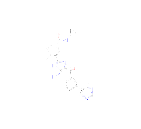 Cc1ccc(C(=O)NC2CC2)cc1-c1nc(C(=O)c2cccc(-c3cncnc3)c2)c(N)[nH]1